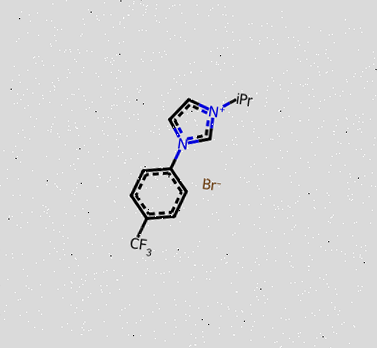 CC(C)[n+]1ccn(-c2ccc(C(F)(F)F)cc2)c1.[Br-]